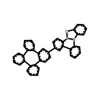 c1ccc2c(c1)OB1c3ccc(-c4ccc5c(c4)-c4ccccc4-c4ccccc4-c4ccccc4-5)cc3-c3ccccc3N12